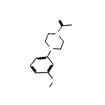 CC(=O)N1CCN(c2cccc(NF)c2)CC1